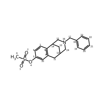 CS(=O)(=O)Oc1ccc2c(c1)CC1CC2CN(Cc2ccccc2)C1